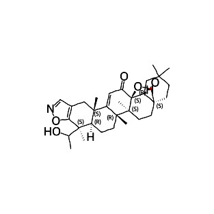 CC(O)[C@@]1(C)c2oncc2C[C@]2(C)C3=CC(=O)[C@]45OC(=O)[C@@]6(CCC(C)(C)C[C@H]64)CC[C@@]5(C)[C@]3(C)CC[C@H]21